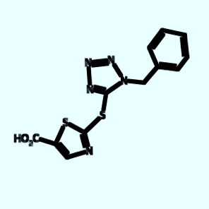 O=C(O)c1cnc(Sc2nnnn2Cc2ccccc2)s1